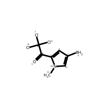 Bc1cc(C(=O)C(Cl)(Cl)Cl)n(C)c1